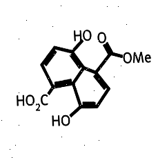 COC(=O)c1ccc(O)c2c(C(=O)O)ccc(O)c12